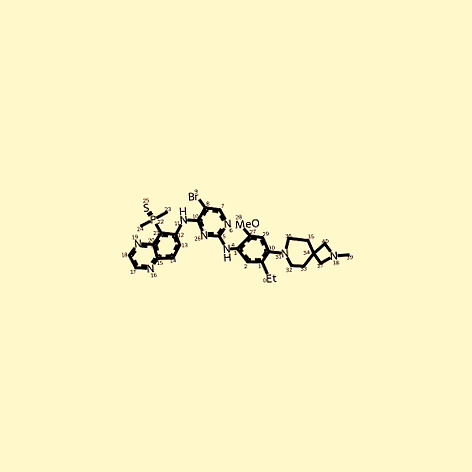 CCc1cc(Nc2ncc(Br)c(Nc3ccc4nccnc4c3P(C)(C)=S)n2)c(OC)cc1N1CCC2(CC1)CN(C)C2